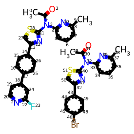 CC(=O)N(c1cccc(C)n1)c1nc(-c2ccc(-c3ccnc(F)c3)cc2)cs1.CC(=O)N(c1cccc(C)n1)c1nc(-c2ccc(Br)cc2)cs1